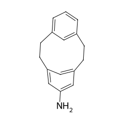 Nc1cc2cc(c1)CCc1cccc(c1)CC2